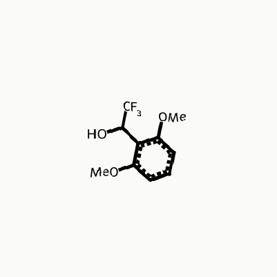 COc1cccc(OC)c1C(O)C(F)(F)F